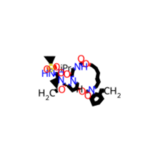 C=Cc1ccccc1N1C/C=C/CCCOC(=O)N[C@@H](C(C)C)C(=O)N2C[C@@H](C[C@H]2C(=O)N[C@]2(C(=O)NS(=O)(=O)C3CC3)C[C@H]2C=C)OC1=O